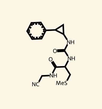 CSCC(NC(=O)NC1CC1c1ccccc1)C(=O)NCC#N